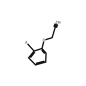 C#CCOc1c[c]ccc1F